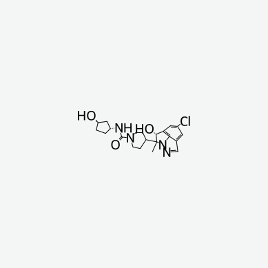 CC1(C2CCN(C(=O)N[C@@H]3CC[C@@H](O)C3)CC2)[C@H](O)c2cc(Cl)cc3cnn1c23